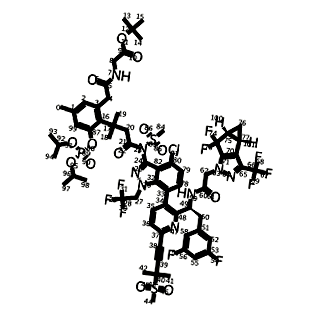 Cc1cc(CC(=O)NCC(=O)OC(C)(C)C)c(C(C)(C)CC(=O)N(c2nn(CC(F)(F)F)c3c(-c4ccc(C#CC(C)(C)S(C)(=O)=O)nc4[C@H](Cc4cc(F)cc(F)c4)NC(=O)Cn4nc(C(F)(F)F)c5c4C(F)(F)[C@@H]4C[C@H]54)ccc(Cl)c23)S(C)(=O)=O)c(OP(=O)(OC(C)C)OC(C)C)c1